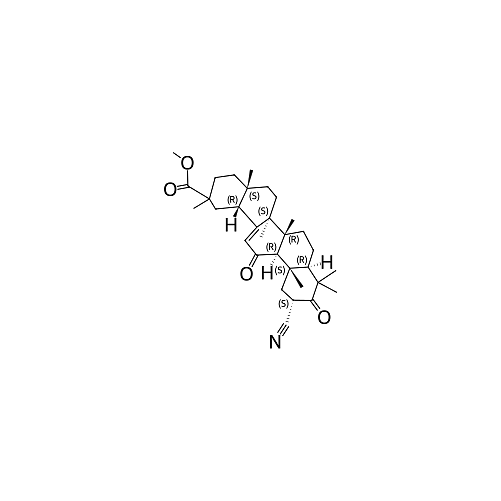 COC(=O)C1(C)CC[C@]2(C)CC[C@]3(C)C(=CC(=O)[C@@H]4[C@@]5(C)C[C@@H](C#N)C(=O)C(C)(C)[C@@H]5CC[C@]43C)[C@@H]2C1